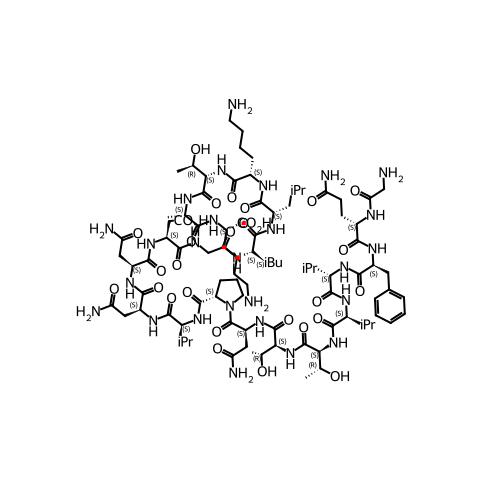 CC[C@H](C)[C@H](NC(=O)CNC(=O)[C@H](CC(=O)O)NC(=O)[C@H](CC(N)=O)NC(=O)[C@H](CC(N)=O)NC(=O)[C@@H](NC(=O)[C@@H]1CCCN1C(=O)[C@H](CC(N)=O)NC(=O)[C@@H](NC(=O)[C@@H](NC(=O)[C@@H](NC(=O)[C@@H](NC(=O)[C@H](Cc1ccccc1)NC(=O)[C@H](CCC(N)=O)NC(=O)CN)C(C)C)C(C)C)[C@@H](C)O)[C@@H](C)O)C(C)C)C(=O)N[C@@H](CC(C)C)C(=O)N[C@@H](CCCCN)C(=O)N[C@H](C(=O)N[C@@H](C)C(=O)N[C@@H](CCCCN)C(=O)O)[C@@H](C)O